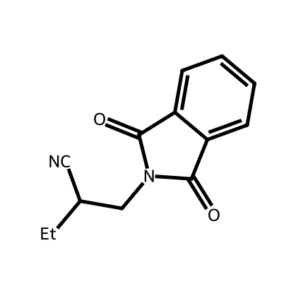 CCC(C#N)CN1C(=O)c2ccccc2C1=O